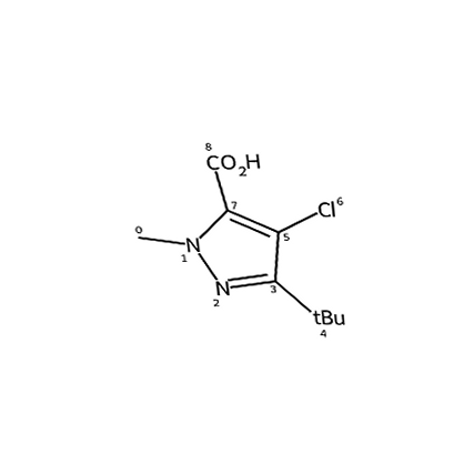 Cn1nc(C(C)(C)C)c(Cl)c1C(=O)O